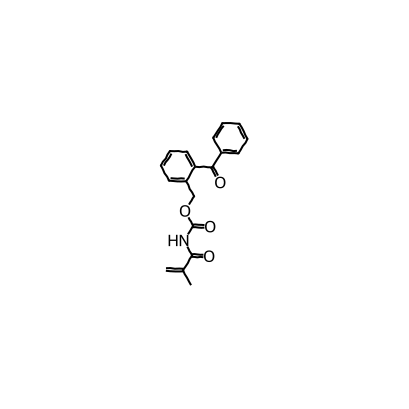 C=C(C)C(=O)NC(=O)OCc1ccccc1C(=O)c1ccccc1